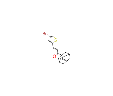 O=C(/C=C/c1cc(Br)cs1)C12C=C3CC(CC(C3)C1)C2